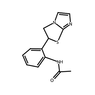 CC(=O)Nc1ccccc1C1Cn2ccnc2S1